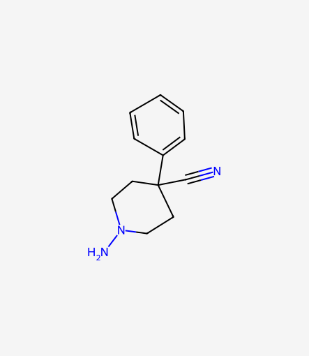 N#CC1(c2ccccc2)CCN(N)CC1